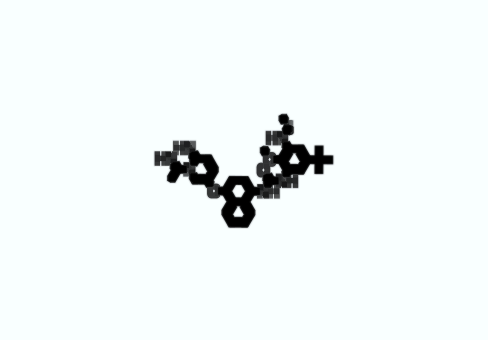 COc1c(NSC)cc(C(C)(C)C)cc1NC(=O)NC1CCC(Oc2ccc(=N)n(C(C)=N)c2)c2ccccc21